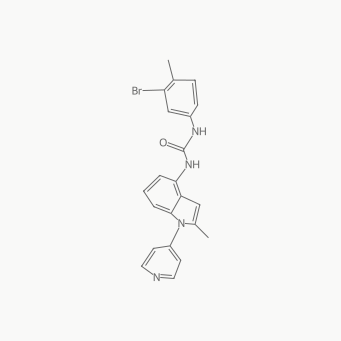 Cc1ccc(NC(=O)Nc2cccc3c2cc(C)n3-c2ccncc2)cc1Br